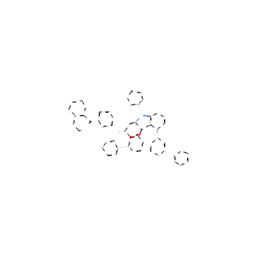 c1ccc(-c2cccc(-c3cccc4c3c3ccc(N(c5cccc(-c6cccc7ccccc67)c5)c5ccccc5-c5ccccc5)cc3n4-c3ccccc3)c2)cc1